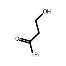 CCCC(=O)CCO